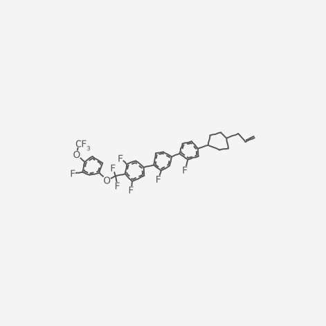 C=CCC1CCC(c2ccc(-c3ccc(-c4cc(F)c(C(F)(F)Oc5ccc(OC(F)(F)F)c(F)c5)c(F)c4)c(F)c3)c(F)c2)CC1